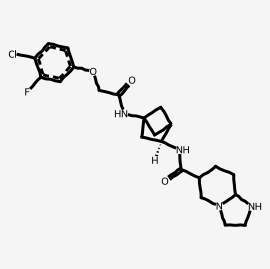 O=C(COc1ccc(Cl)c(F)c1)NC12CC(C1)[C@@H](NC(=O)C1CCC3NCCN3C1)C2